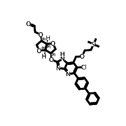 C[Si](C)(C)CCOCc1c(Cl)c(-c2ccc(-c3ccccc3)cc2)nc2nc(O[C@@H]3CO[C@H]4[C@@H]3OC[C@H]4OCC=O)[nH]c12